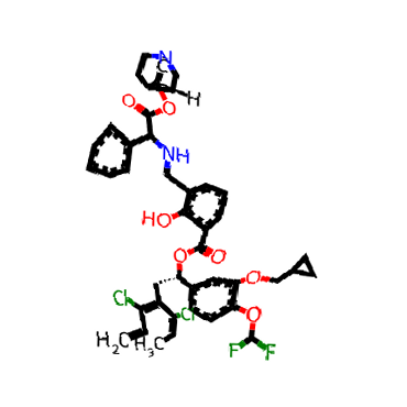 C=C/C(Cl)=C(C[C@H](OC(=O)c1cccc(CNC(C(=O)O[C@H]2CN3CCC2CC3)c2ccccc2)c1O)c1ccc(OC(F)F)c(OCC2CC2)c1)\C(Cl)=C/C